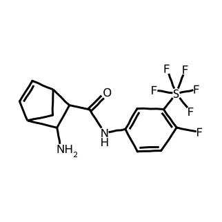 NC1C2C=CC(C2)C1C(=O)Nc1ccc(F)c(S(F)(F)(F)(F)F)c1